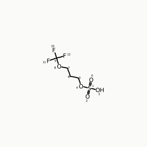 O=S(=O)(O)OCCCOC(F)(F)F